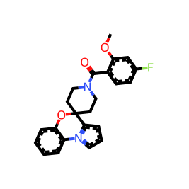 COc1cc(F)ccc1C(=O)N1CCC2(CC1)Oc1ccccc1-n1cccc12